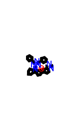 c1ccc(-c2nc(-c3ccccc3)nc(-n3c4ccccc4c4ccc5c6ccc7ncncc7c6oc5c43)n2)cc1